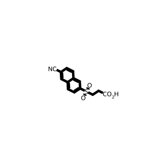 N#Cc1ccc2cc(S(=O)(=O)CCC(=O)O)ccc2c1